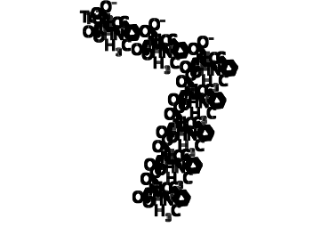 Cc1cccc(C)c1NC(=O)CN(CC(=O)[O-])CC(=O)[O-].Cc1cccc(C)c1NC(=O)CN(CC(=O)[O-])CC(=O)[O-].Cc1cccc(C)c1NC(=O)CN(CC(=O)[O-])CC(=O)[O-].Cc1cccc(C)c1NC(=O)CN(CC(=O)[O-])CC(=O)[O-].Cc1cccc(C)c1NC(=O)CN(CC(=O)[O-])CC(=O)[O-].Cc1cccc(C)c1NC(=O)CN(CC(=O)[O-])CC(=O)[O-].Cc1cccc(C)c1NC(=O)CN(CC(=O)[O-])CC(=O)[O-].[Tc+7].[Tc+7]